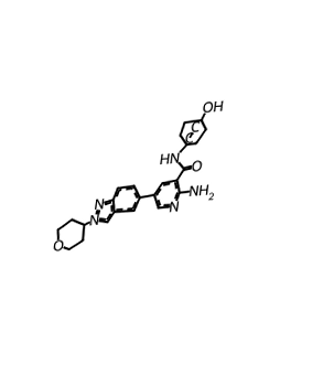 Nc1ncc(-c2ccc3nn(C4CCOCC4)cc3c2)cc1C(=O)NC12CCC(O)(CC1)CC2